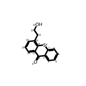 O=c1c2ccccc2sc2c(CCO)cccc12